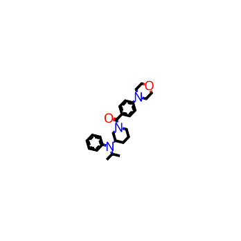 CC(C)N(c1ccccc1)[C@@H]1CCCN(C(=O)c2ccc(N3CCOCC3)cc2)C1